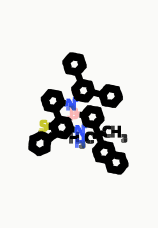 CC(C)(c1ccc2ccccc2c1)c1cccc2c1Nc1cc3c(sc4ccccc43)c3c1B2N(c1cc(-c2ccccc2)cc(-c2ccccc2)c1)c1ccccc1-3